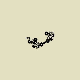 N[C@@H](C(=O)N1CCC[C@H]1c1ncc(-c2ccc(C#Cc3ccc(-c4cnc([C@@H]5CCCN5C(=O)[C@H](NC(=O)N5CCC[C@H]5CO)c5ccccc5)[nH]4)cc3)cc2)[nH]1)c1ccccc1